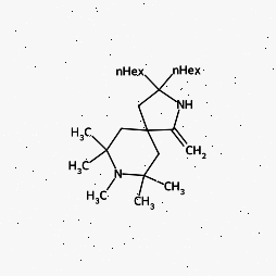 C=C1NC(CCCCCC)(CCCCCC)CC12CC(C)(C)N(C)C(C)(C)C2